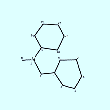 CN(CC1CCCCC1)C1CCCCC1